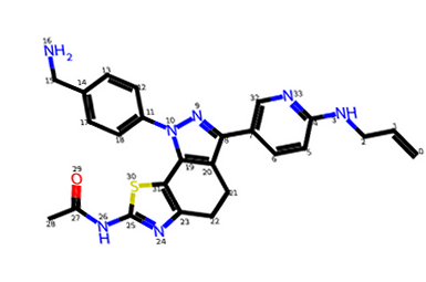 C=CCNc1ccc(-c2nn(-c3ccc(CN)cc3)c3c2CCc2nc(NC(C)=O)sc2-3)cn1